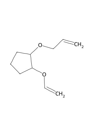 C=CCOC1CCCC1OC=C